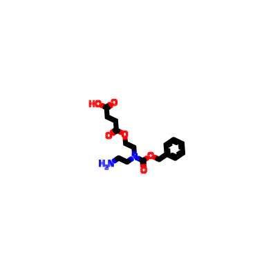 NCCN(CCOC(=O)CCC(=O)O)C(=O)OCc1ccccc1